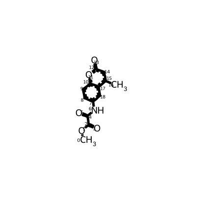 COC(=O)C(=O)Nc1ccc2oc(=O)cc(C)c2c1